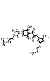 CCCCc1cc(C)c(/C=C(\C)C(=O)c2c(O)cc(C(C)CCC=CNC(=O)O)oc2=O)s1